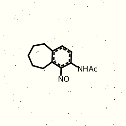 CC(=O)Nc1ccc2c(c1N=O)CCCCC2